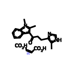 Cc1[nH]cnc1CCC(=O)c1c(C)n(C)c2ccccc12.O=C(O)/C=C\C(=O)O